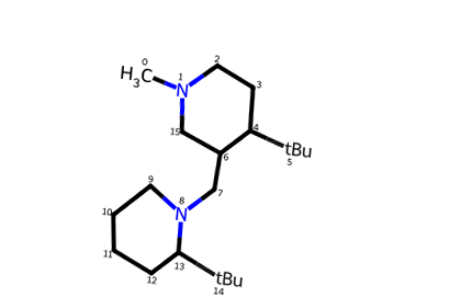 CN1CCC(C(C)(C)C)C(CN2CCCCC2C(C)(C)C)C1